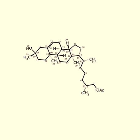 CC(=O)OC[C@H](C)CCC[C@@H](C)[C@H]1CC[C@H]2[C@@H]3CC=C4C[C@@](C)(O)CC[C@]4(C)[C@H]3CC[C@]12C